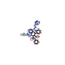 CCCCn1nc(C2=C(c3cn(CCCn4ccnc4)c4ccccc34)C(=O)N(c3ccccc3)C2=O)c2cccnc21